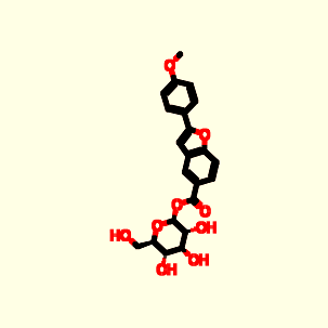 COc1ccc(-c2cc3cc(C(=O)O[C@@H]4O[C@H](CO)[C@@H](O)[C@H](O)[C@H]4O)ccc3o2)cc1